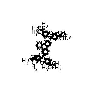 CC(C)(C)c1ccc2c(c1)Oc1cc(C(C)(C)C)ccc1N2c1ccc2c3ccc(N4c5ccc(C(C)(C)C)cc5Oc5cc(C(C)(C)C)ccc54)cc3c3nccnc3c2c1